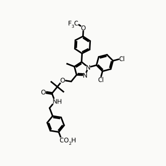 Cc1c(COC(C)(C)C(=O)NCc2ccc(C(=O)O)cc2)nn(-c2ccc(Cl)cc2Cl)c1-c1ccc(OC(F)(F)F)cc1